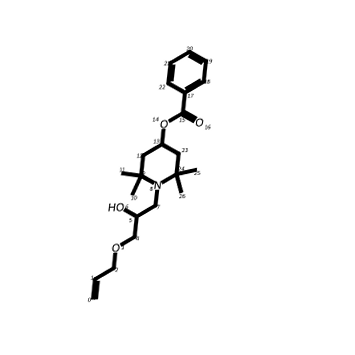 C=CCOCC(O)CN1C(C)(C)CC(OC(=O)c2ccccc2)CC1(C)C